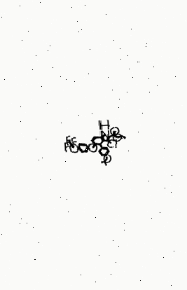 CCOC(=O)c1[nH]c2ccc(Oc3ccc(OC(F)(F)F)cc3)c(-c3ccc(OC(C)C)cc3)c2c1Cl